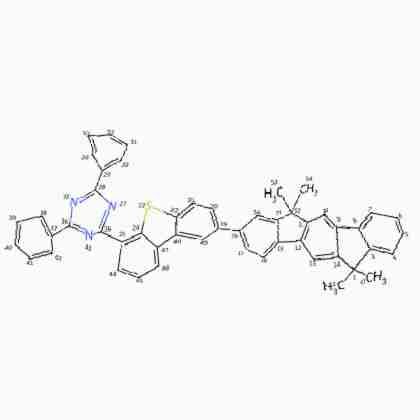 CC1(C)c2ccccc2-c2cc3c(cc21)-c1ccc(-c2ccc4sc5c(-c6nc(-c7ccccc7)nc(-c7ccccc7)n6)cccc5c4c2)cc1C3(C)C